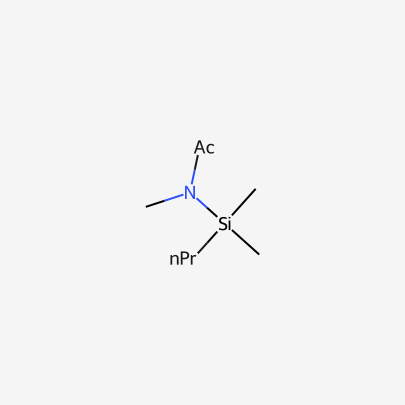 CCC[Si](C)(C)N(C)C(C)=O